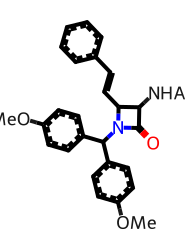 COc1ccc(C(c2ccc(OC)cc2)N2C(=O)C(NC(C)=O)C2C=Cc2ccccc2)cc1